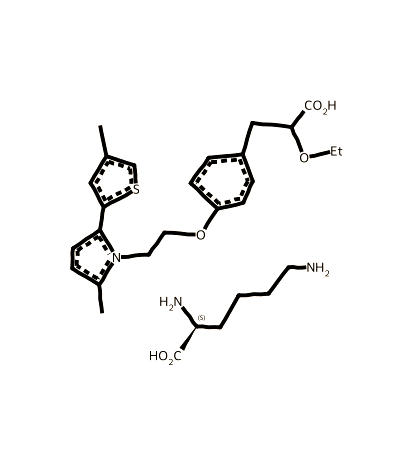 CCOC(Cc1ccc(OCCn2c(C)ccc2-c2cc(C)cs2)cc1)C(=O)O.NCCCC[C@H](N)C(=O)O